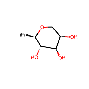 CC(C)[C@H]1OC[C@H](O)[C@@H](O)[C@@H]1O